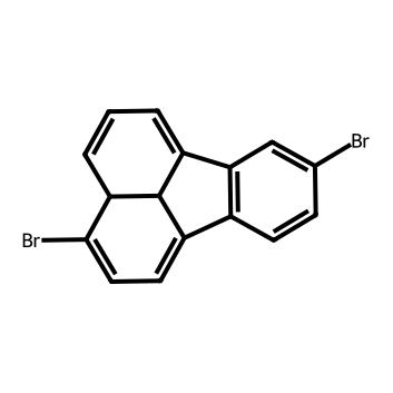 BrC1=CC=C2c3ccc(Br)cc3C3=CC=CC1C23